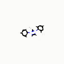 Cc1cc(C)c(-n2c(C)c(C)n(-c3c(C)cc(C)cc3C)[c]2=[Pd])c(C)c1